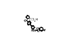 O=C(O)[C@@H]1CCC[C@H]1C(=O)c1ccc(-c2ccc(Nc3nc4cc(F)ccc4o3)cc2)cc1